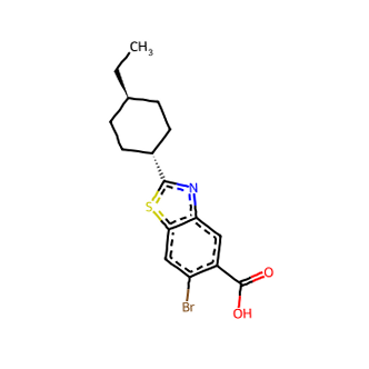 CC[C@H]1CC[C@H](c2nc3cc(C(=O)O)c(Br)cc3s2)CC1